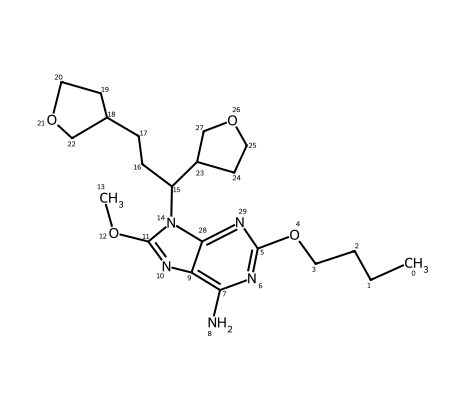 CCCCOc1nc(N)c2nc(OC)n(C(CCC3CCOC3)C3CCOC3)c2n1